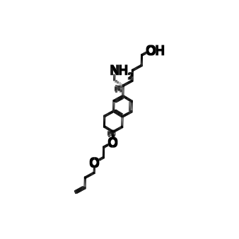 C=CCCOCCO[C@H]1CCc2cc([C@H](CN)CCCCO)ccc2C1